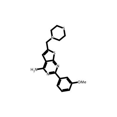 COc1cccc(-c2nc(N)c3cc(CN4CCSCC4)sc3n2)c1